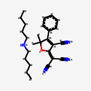 CC1(C)OC(=C(C#N)C#N)C(C#N)=C1c1ccccc1.CCCCCNCCCCC